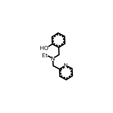 CCN(Cc1ccccn1)Cc1ccccc1O